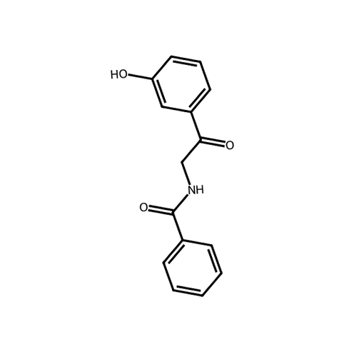 O=C(CNC(=O)c1ccccc1)c1cccc(O)c1